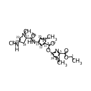 CCOC(=O)c1nc(OC(=O)c2cc(NC(=O)C3CC(NCl)=CN3C)cn2C)cn1C